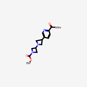 CNC(=O)c1ccc(C2CN(C3CN(C(=O)OC(C)(C)C)C3)C2)cn1